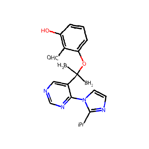 BC(B)(Oc1cccc(O)c1C=O)c1cncnc1-n1ccnc1C(C)C